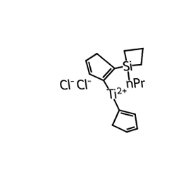 CCC[Si]1(C2=[C]([Ti+2][C]3=CC=CC3)C=CC2)CCC1.[Cl-].[Cl-]